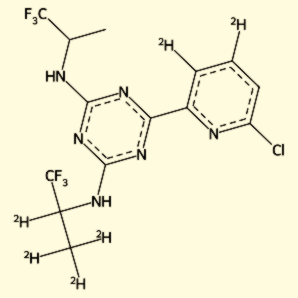 [2H]c1cc(Cl)nc(-c2nc(NC(C)C(F)(F)F)nc(NC([2H])(C([2H])([2H])[2H])C(F)(F)F)n2)c1[2H]